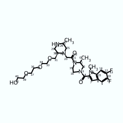 CC1CN(C(=O)c2cc3cc(F)c(F)cc3n2C)CCN1C(=O)CN1C[C@@H](C)NC[C@@H]1COCCOCCOCCO